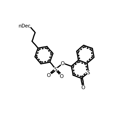 CCCCCCCCCCCCc1ccc(S(=O)(=O)Oc2cc(=O)sc3ccccc23)cc1